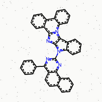 c1ccc(-c2nc(-n3c4ccccc4c4c3nc3c5ccccc5c5ccccc5n34)nc3c2ccc2ccccc23)cc1